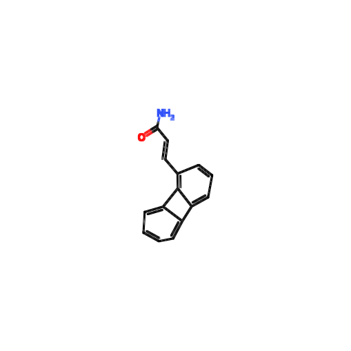 NC(=O)C=Cc1cccc2c1-c1ccccc1-2